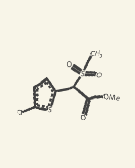 COC(=O)C(c1ccc(Cl)s1)S(C)(=O)=O